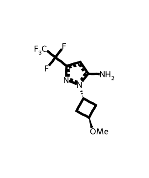 CO[C@H]1C[C@H](n2nc(C(F)(F)C(F)(F)F)cc2N)C1